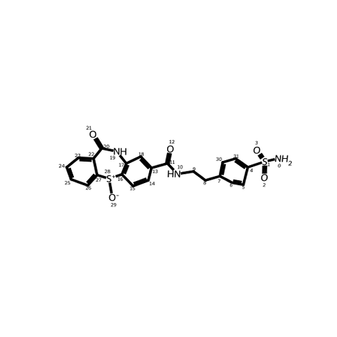 NS(=O)(=O)c1ccc(CCNC(=O)c2ccc3c(c2)NC(=O)c2ccccc2[S+]3[O-])cc1